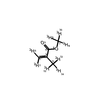 [2H]C([2H])=C(C(=O)OC([2H])([2H])[2H])C([2H])([2H])[2H]